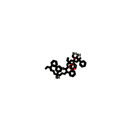 C=CC(CCC(S)C(CCCC(S)(CC/C=C(/CC)c1ccccc1)c1ccccc1)c1ccccc1)(CC(CCS)(CC(C)(c1ccccc1)C(C)S)c1ccccc1)c1ccccc1